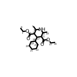 CCOC(=O)C1C(C)NC(C)C(C(=O)OCC)C1C1CCCCC1